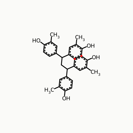 Cc1cc(C(CC(c2ccc(O)c(C)c2)c2ccc(O)c(C)c2)c2ccc(O)c(C)c2)ccc1O